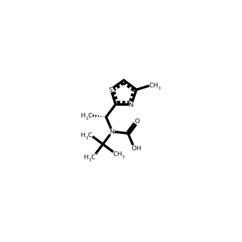 Cc1csc([C@@H](C)N(C(=O)O)C(C)(C)C)n1